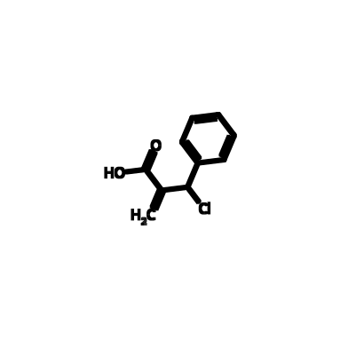 C=C(C(=O)O)C(Cl)c1ccccc1